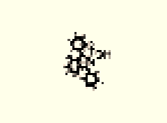 OP(O)C(Cc1ccccc1)NC(c1ccccc1)c1ccccc1